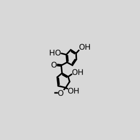 COC1(O)C=CC(C(=O)c2ccc(O)cc2O)=C(O)C1